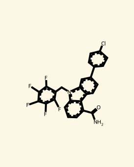 NC(=O)c1cccc2c1c1[c]cc(-c3ccc(Cl)cc3)cc1n2Cc1c(F)c(F)c(F)c(F)c1F